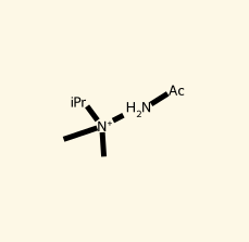 CC(C)[N+](C)(C)C.CC(N)=O